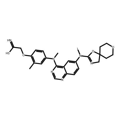 Cc1cc(N(C)c2ncnc3ccc(N(I)C4=NCC5(CCOCC5)O4)cc23)ccc1OCC(=N)S